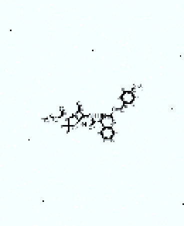 CC1(C)S[C@@H]2C(NC(=O)C(NC(=O)OCc3ccc([N+](=O)[O-])cc3)c3ccccc3)C(=O)N2[C@H]1C(=O)OCCl